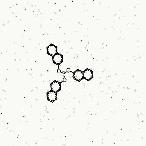 c1ccc2cc(OP(Oc3ccc4ccccc4c3)Oc3ccc4ccccc4c3)ccc2c1